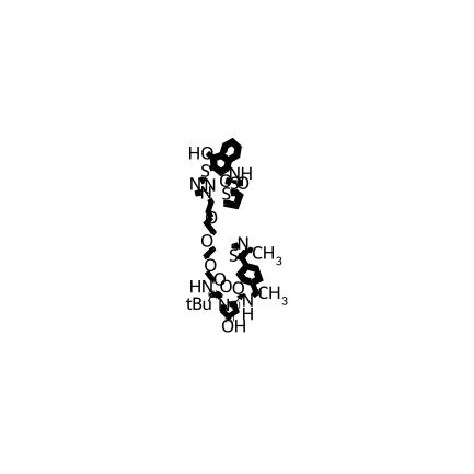 Cc1ncsc1-c1ccc([C@H](C)NC(=O)[C@@H]2C[C@@H](O)CN2C(=O)[C@@H](NC(=O)COCCOCCOCCn2cnc(Sc3cc(NS(=O)(=O)c4cccs4)c4ccccc4c3O)n2)C(C)(C)C)cc1